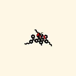 CCCCc1ccc(N2B3c4c(cc(C)cc4N(c4ccc(CCCC)cc4-c4ccccc4)c4ccc5sc6ccccc6c5c43)-c3ccc(N(c4ccccc4)c4ccc(CCCC)cc4)cc32)cc1